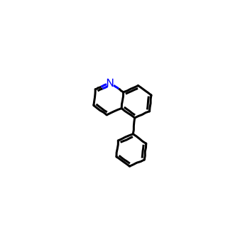 c1ccc(-c2cccc3ncccc23)cc1